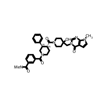 CNC(=O)c1cccc(C(=O)N2CC[C@@H](C(=O)N3CCC(O)(Cn4cnc5c(ccn5C)c4=O)CC3)[C@H](c3ccccc3)C2)c1